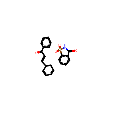 O=C(C=CC1C=CC=CC1)c1ccccc1.O=C1NS(=O)(=O)c2ccccc21